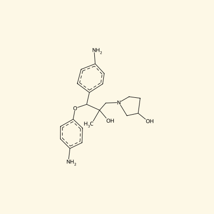 CC(O)(CN1CCC(O)C1)C(Oc1ccc(N)cc1)c1ccc(N)cc1